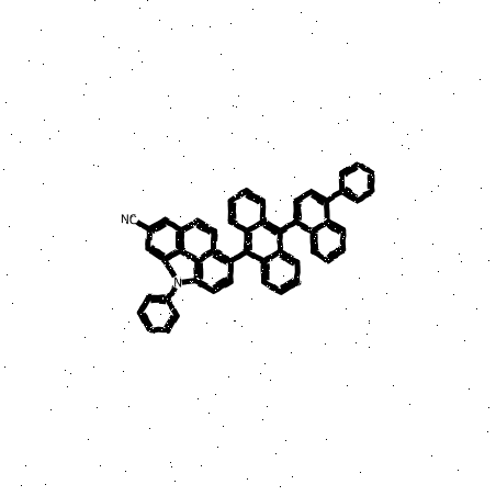 N#Cc1cc2ccc3c(-c4c5ccccc5c(-c5ccc(-c6ccccc6)c6ccccc56)c5ccccc45)ccc4c3c2c(c1)n4-c1ccccc1